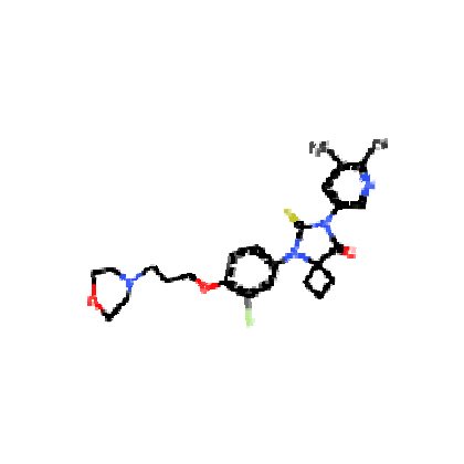 N#Cc1ncc(N2C(=O)C3(CCC3)N(c3ccc(OCCCN4CCOCC4)c(F)c3)C2=S)cc1C(F)(F)F